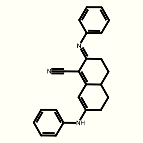 N#CC1=C2C=C(Nc3ccccc3)CCC2CC/C1=N\c1ccccc1